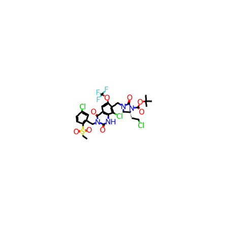 CCS(=O)(=O)c1ccc(Cl)cc1Cn1c(=O)[nH]c2c(Cl)c(CN3C[C@@H](CCCl)N(C(=O)OC(C)(C)C)C3=O)c(OC(F)(F)F)cc2c1=O